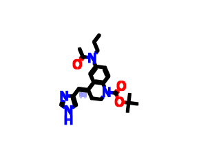 CCCN(C(C)=O)c1ccc2c(c1)/C(=C/c1c[nH]cn1)CCN2C(=O)OC(C)(C)C